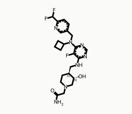 NC(=O)CN1CC[C@@H](CNc2ncnc(N(Cc3ccc(C(F)F)nc3)C3CCC3)c2F)[C@H](O)C1